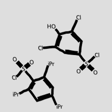 CC(C)c1cc(C(C)C)c(S(=O)(=O)Cl)c(C(C)C)c1.O=S(=O)(Cl)c1cc(Cl)c(O)c(Cl)c1